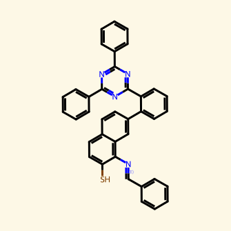 Sc1ccc2ccc(-c3ccccc3-c3nc(-c4ccccc4)nc(-c4ccccc4)n3)cc2c1/N=C/c1ccccc1